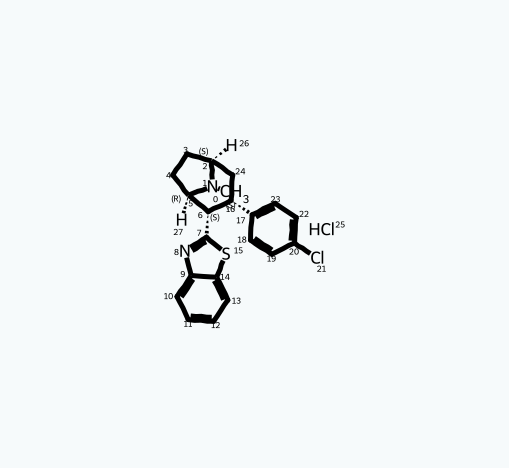 CN1[C@H]2CC[C@@H]1[C@@H](c1nc3ccccc3s1)[C@@H](c1ccc(Cl)cc1)C2.Cl